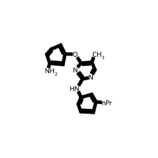 CCCc1cccc(Nc2ncc(C)c(Oc3cccc(N)c3)n2)c1